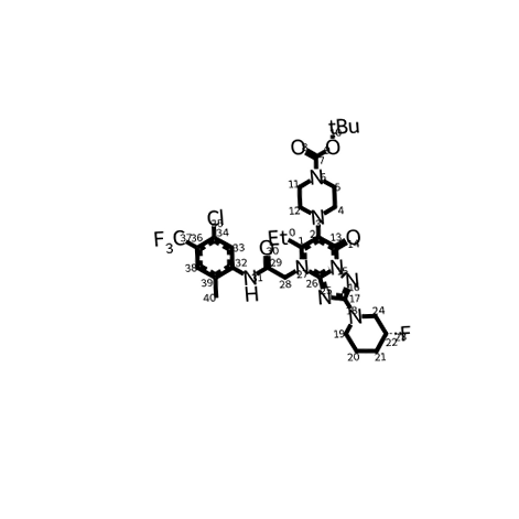 CCc1c(N2CCN(C(=O)OC(C)(C)C)CC2)c(=O)n2nc(N3CCC[C@@H](F)C3)nc2n1CC(=O)Nc1cc(Cl)c(C(F)(F)F)cc1C